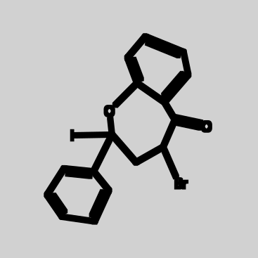 O=C1c2ccccc2OC(I)(c2ccccc2)CC1Br